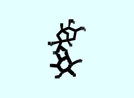 CCCn1c(=O)c2[nH]c([C@]3(C)C[C@H]4C[C@H]3CC(C)[C@H]4C)nc2n(CCC)c1=O